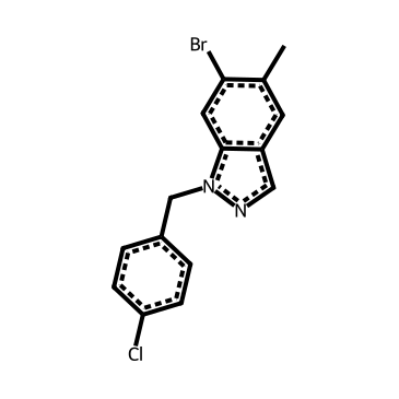 Cc1cc2cnn(Cc3ccc(Cl)cc3)c2cc1Br